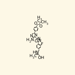 CC(C)C(=O)C(=O)c1ccc(-c2cnc(N)c(-c3nnc(-c4ccc(CN[C@H](C)CO)cc4F)o3)n2)cc1